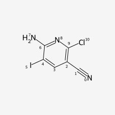 N#Cc1cc(I)c(N)nc1Cl